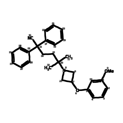 COc1cccc(OC2CN(C(C)(C)CCC(C#N)(c3ccccc3)c3ccccc3)C2)c1